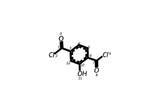 O=C(Cl)c1ccc(C(=O)Cl)c(O)c1